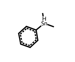 [CH3][SnH]([CH3])[c]1ccccc1